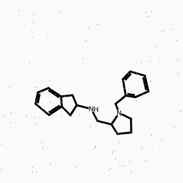 c1ccc(CN2CCCC2CNC2Cc3ccccc3C2)cc1